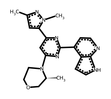 Cc1cc(-c2cc(N3CCOC[C@H]3C)nc(-c3ccnc4[nH]ccc34)n2)n(C)n1